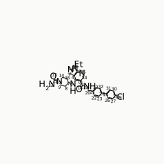 CCn1ncc2c(NC3CCN(C(N)=O)CC3)c(C(=O)NCc3ccc(-c4ccc(Cl)cc4)cc3)cnc21